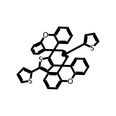 c1csc(-c2cc3c(s2)C2(c4ccccc4Oc4ccccc42)c2cc(-c4cccs4)sc2C32c3ccccc3Oc3ccccc32)c1